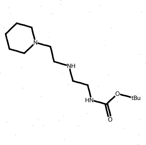 CC(C)(C)OC(=O)NCCNCCN1CCCCC1